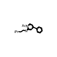 CC(=O)n1ccc(-c2ccccc2)c/c1=N/CCC(C)C